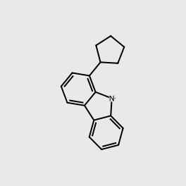 c1ccc2c(c1)[N]c1c-2cccc1C1CCCC1